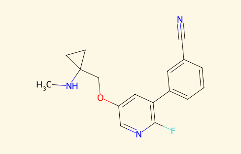 CNC1(COc2cnc(F)c(-c3cccc(C#N)c3)c2)CC1